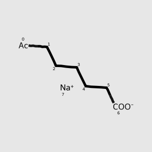 CC(=O)CCCCCC(=O)[O-].[Na+]